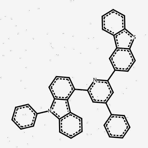 c1ccc(-c2cc(-c3ccc4sc5ccccc5c4c3)nc(-c3cccc4c3c3ccccc3n4-c3ccccc3)c2)cc1